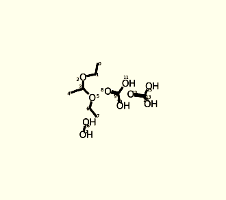 CCOC(C)OCC.O=C(O)O.O=C(O)O.OO